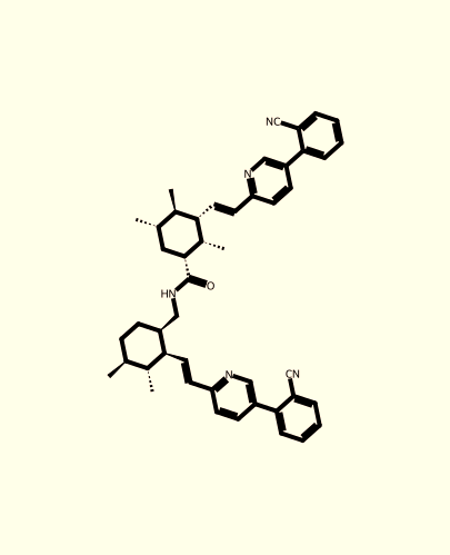 C[C@H]1[C@H](/C=C/c2ccc(-c3ccccc3C#N)cn2)[C@H](C)[C@H](C(=O)NC[C@@H]2CC[C@H](C)[C@@H](C)[C@@H]2/C=C/c2ccc(-c3ccccc3C#N)cn2)C[C@@H]1C